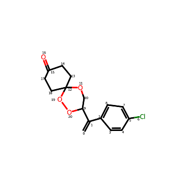 C=C(c1ccc(Cl)cc1)C1COC2(CCC(=O)CC2)OO1